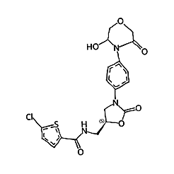 O=C(NC[C@H]1CN(c2ccc(N3C(=O)COCC3O)cc2)C(=O)O1)c1ccc(Cl)s1